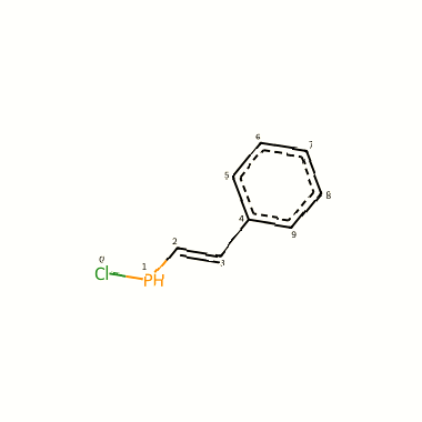 ClPC=Cc1ccccc1